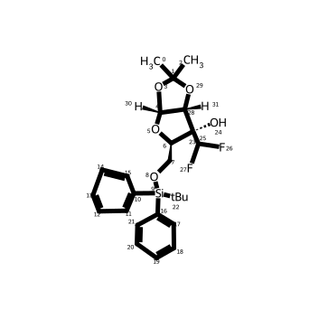 CC1(C)O[C@H]2O[C@H](CO[Si](c3ccccc3)(c3ccccc3)C(C)(C)C)[C@](O)(C(F)F)[C@H]2O1